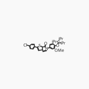 COc1cc(N2C=CC3C=C(c4ccc(Cl)cc4)SC3C2=O)ccc1O[Si](C(C)C)(C(C)C)C(C)C